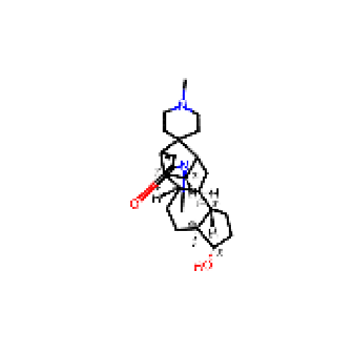 CN1CCC2(CC1)C1=CC(=O)N(C)[C@@H]3C2C[C@H]2[C@@H]4CC[C@H](O)[C@@]4(C)CC[C@@H]2[C@@]13C